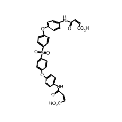 O=C(O)/C=C\C(=O)Nc1ccc(Oc2ccc(S(=O)(=O)c3ccc(Oc4ccc(NC(=O)/C=C\C(=O)O)cc4)cc3)cc2)cc1